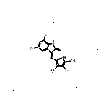 CCc1c(C)[nH]c(C=C2C(=O)Nc3c(Br)cc(Br)cc32)c1C